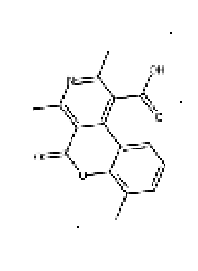 Cc1nc(C)c2c(=O)oc3c(C)cccc3c2c1C(=O)O